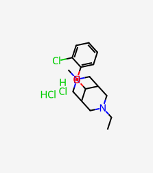 CCN1CC2CN(C)CC(C1)C2Oc1ccccc1Cl.Cl.Cl